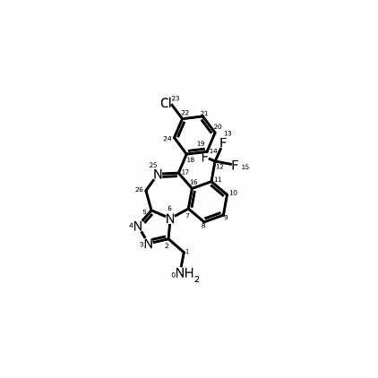 NCc1nnc2n1-c1cccc(C(F)(F)F)c1C(c1cccc(Cl)c1)=NC2